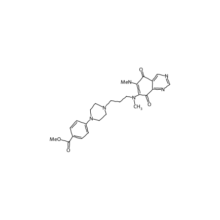 CNC1=C(N(C)CCCN2CCN(c3ccc(C(=O)OC)cc3)CC2)C(=O)c2ncncc2C1=O